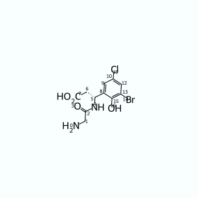 NCC(=O)N[C@H](CC(=O)O)c1cc(Cl)cc(Br)c1O